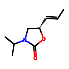 CC=C[C@H]1CN(C(C)C)C(=O)O1